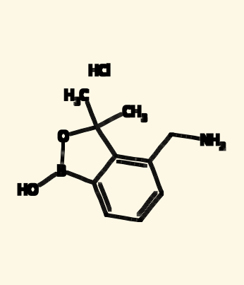 CC1(C)OB(O)c2cccc(CN)c21.Cl